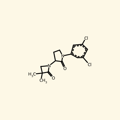 CC1(C)CN(C2CCN(c3cc(Cl)cc(Cl)c3)C2=O)C1=O